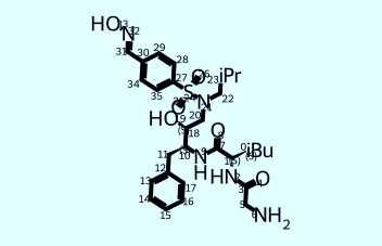 CC[C@H](C)[C@H](NC(=O)CN)C(=O)N[C@@H](Cc1ccccc1)[C@@H](O)CN(CC(C)C)S(=O)(=O)c1ccc(C=NO)cc1